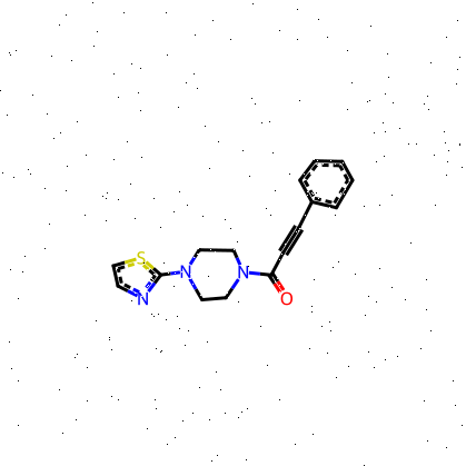 O=C(C#Cc1ccccc1)N1CCN(c2nccs2)CC1